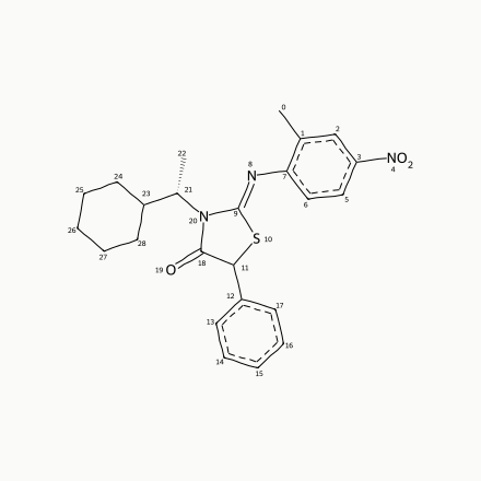 Cc1cc([N+](=O)[O-])ccc1/N=C1\SC(c2ccccc2)C(=O)N1[C@@H](C)C1CCCCC1